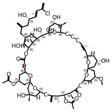 C=C(Cl)/C=C/[C@@H](O)CC(=C)C[C@H]1O[C@@H]2[C@H](C)[C@@H](OC(=O)C[C@H]3C[C@H](OC(C)=O)C[C@@]4(C[C@@](C)(O)C[C@H](CC(=C)[C@@H](C)[C@H](OC(C)=O)[C@H](C)C(=O)C[C@@H]5C[C@H](OC)C[C@@]6(C[C@@H](O)C[C@H](/C=C\CCC[C@H]7O[C@](O)(C[C@H](O)[C@H]7C)[C@H]2O)O6)O5)O4)O3)[C@@H]1O